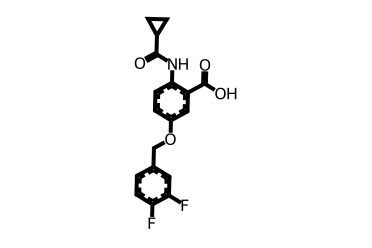 O=C(O)c1cc(OCc2ccc(F)c(F)c2)ccc1NC(=O)C1CC1